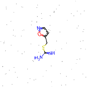 N=C(N)SCc1ccno1